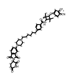 CC1(C)C(NC(=O)c2ccc(CCCCCCN3CCN(c4ccc5c(c4)C(=O)N(C4CCC(=O)NC4=O)C5=O)CC3)cc2)C(C)(C)C1Oc1ccc(C#N)c(C(F)(F)F)c1